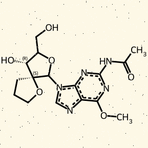 COc1nc(NC(C)=O)nc2c1ncn2C1OC(CO)[C@@H](O)[C@@]12CCCO2